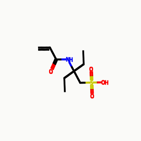 C=CC(=O)NC(CC)(CC)CS(=O)(=O)O